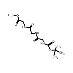 COC(=O)CNC(=O)CNC(=O)CNC(=O)OC(C)(C)C